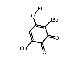 CCOC1=C(C(C)(C)C)C(=O)C(=O)C(C(C)(C)C)=C1